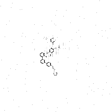 N#Cc1cncc(COc2cc(CNc3cccc(-c4cccc(-c5ccc(CCCN6CCCC6)cc5)c4Cl)c3C=N)c(Cl)cc2CNC(CO)C(=O)O)c1